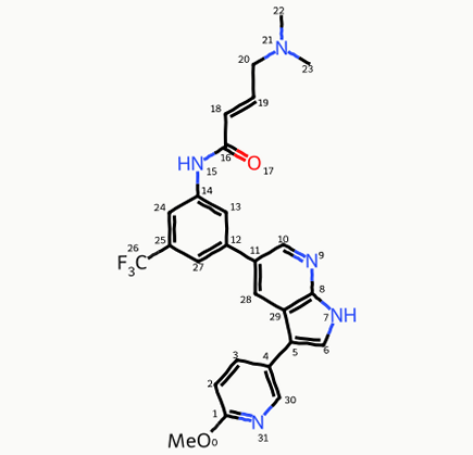 COc1ccc(-c2c[nH]c3ncc(-c4cc(NC(=O)C=CCN(C)C)cc(C(F)(F)F)c4)cc23)cn1